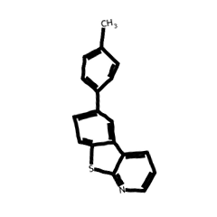 Cc1ccc(-c2ccc3sc4ncccc4c3c2)cc1